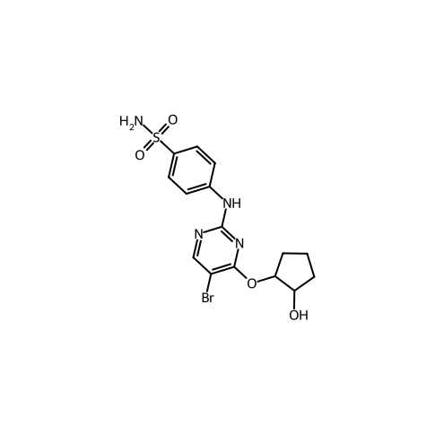 NS(=O)(=O)c1ccc(Nc2ncc(Br)c(OC3CCCC3O)n2)cc1